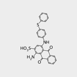 Nc1c(S(=O)(=O)O)cc(Nc2ccc(Sc3ccccc3)cc2)c2c1C(=O)c1ccccc1C2=O